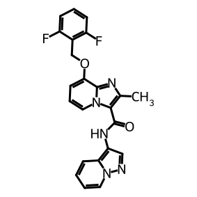 Cc1nc2c(OCc3c(F)cccc3F)cccn2c1C(=O)Nc1cnn2ccccc12